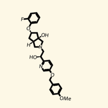 COc1ccc(COc2ccc([C@@H](O)CN3C[C@@H]4C[C@@H](Oc5ccccc5F)C[C@]4(O)C3)nc2)cc1